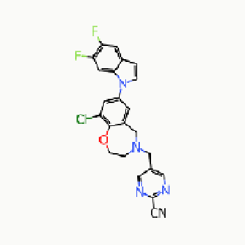 N#Cc1ncc(CN2CCOc3c(Cl)cc(-n4ccc5cc(F)c(F)cc54)cc3C2)cn1